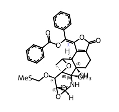 CSCO[C@@H]1[C@@]2(C(C)C)O[C@H]2N[C@@]2(O)[C@@]3(C)CCC4=C(/C(=C(\OC(=O)c5ccccc5)c5ccccc5)OC4=O)[C@@H]3C3C[C@@]12O3